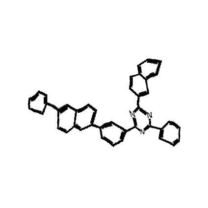 c1ccc(-c2ccc3cc(-c4cccc(-c5nc(-c6ccccc6)nc(-c6ccc7ccccc7c6)n5)c4)ccc3c2)cc1